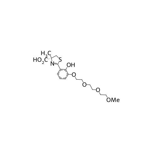 COCCOCCOCCOc1cccc(C2=N[C@](C)(C(=O)O)CS2)c1O